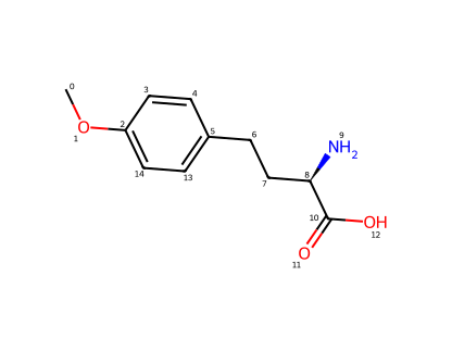 COc1ccc(CC[C@@H](N)C(=O)O)cc1